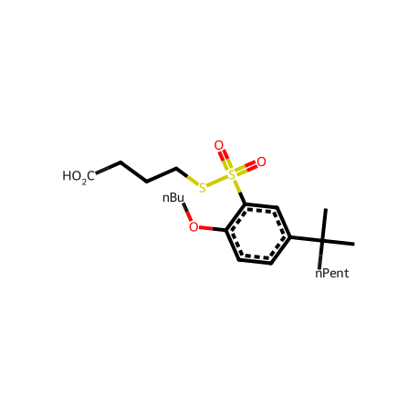 CCCCCC(C)(C)c1ccc(OCCCC)c(S(=O)(=O)SCCCC(=O)O)c1